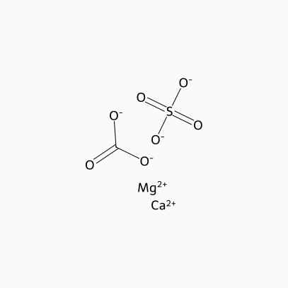 O=C([O-])[O-].O=S(=O)([O-])[O-].[Ca+2].[Mg+2]